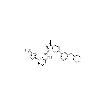 Cc1ccc(-c2nccc3[nH]c(-c4n[nH]c5cnc(-c6cncc(CN7CCCCC7)c6)cc45)cc23)s1